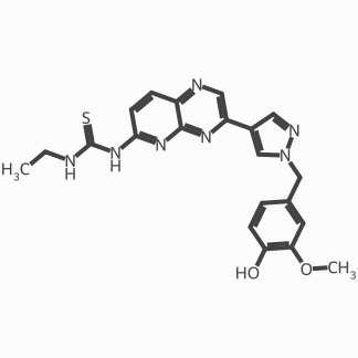 CCNC(=S)Nc1ccc2ncc(-c3cnn(Cc4ccc(O)c(OC)c4)c3)nc2n1